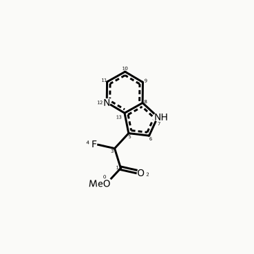 COC(=O)C(F)c1c[nH]c2cccnc12